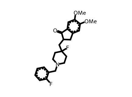 COc1cc2c(cc1OC)C(=O)C(CC1(F)CCN(Cc3ccccc3F)CC1)C2